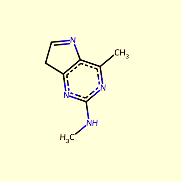 CNc1nc(C)c2c(n1)CC=N2